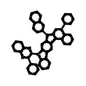 c1ccc(-c2nc3ccccc3nc2-n2c3ccccc3c3cc4c5c6ccccc6c(-c6ccccc6)cc5n(-c5ccc6ccccc6c5)c4cc32)cc1